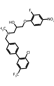 CN(Cc1ccc(-c2cc(C(F)(F)F)ccc2Cl)cc1)CC(O)COc1ccc([N+](=O)[O-])cc1F